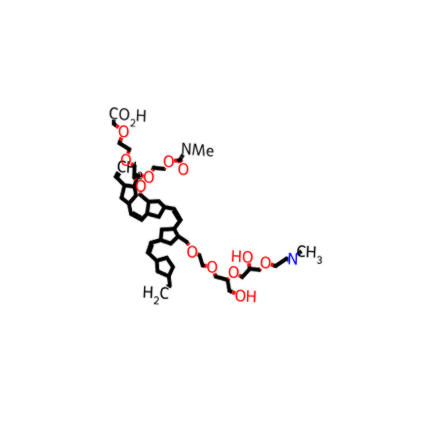 C=CC1CCC(/C=C\C2CC(/C=C\C3CC(/C=C\C4CC(C=C)C(COCCOC(=O)NC)C4)C(COCCOCCOCC(=O)O)C3)C(COCCOCC(CO)OCC(O)COC/C=N/C)C2)C1